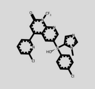 Cn1cncc1[Si@@](O)(c1ccc(Cl)cc1)c1cnc2c(c1)c(-c1cccc(Cl)n1)cc(=O)n2C(F)(F)F